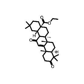 CCOC(=O)[C@]12CCC(C)(C)C[C@H]1C1C(=O)C=C3[C@@]4(C)CCC(=O)C(C)(C)[C@@H]4CC[C@@]3(C)[C@]1(C)CC2